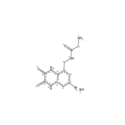 Br.NCC(=O)NCc1cc(Br)cc2[nH]c(=O)c(=O)[nH]c12